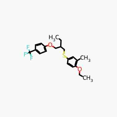 CCOc1ccc(SCC(CC)COc2ccc(C(F)(F)F)cc2)cc1C